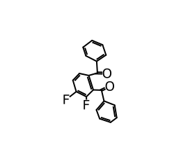 O=C(c1ccccc1)c1ccc(F)c(F)c1C(=O)c1ccccc1